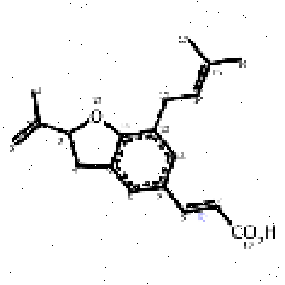 C=C(C)C1Cc2cc(/C=C/C(=O)O)cc(CC=C(C)C)c2O1